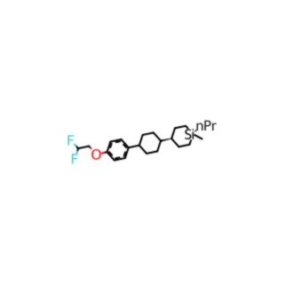 CCC[Si@]1(C)CC[C@@H](C2CCC(c3ccc(OCC(F)F)cc3)CC2)CC1